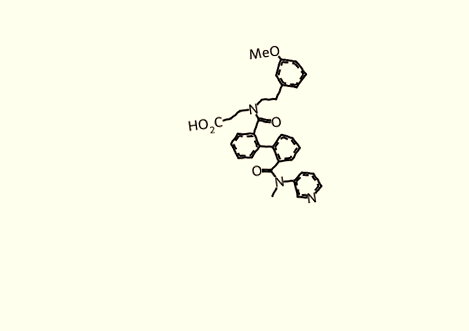 COc1cccc(CCN(CCC(=O)O)C(=O)c2ccccc2-c2ccccc2C(=O)N(C)c2cccnc2)c1